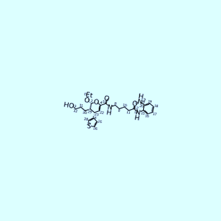 CCO[C@@H]1OC(C(=O)NCCCCC(=O)Nc2ccccc2N)=C[C@H](c2ccsc2)[C@H]1CCCO